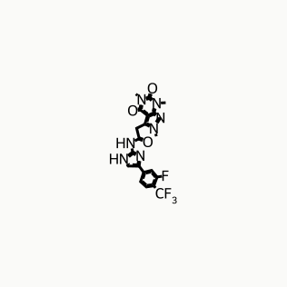 Cn1nc2c(c1CC(=O)Nc1nc(-c3ccc(C(F)(F)F)c(F)c3)c[nH]1)c(=O)n(C)c(=O)n2C